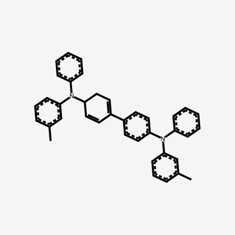 Cc1cccc(N(c2ccccc2)c2ccc(C3=CCC(N(c4ccccc4)c4cccc(C)c4)C=C3)cc2)c1